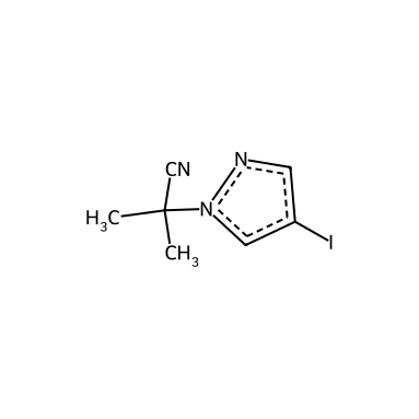 CC(C)(C#N)n1cc(I)cn1